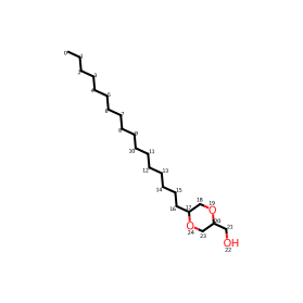 CCCCCCCCCCCCCCCCCC1COC(CO)CO1